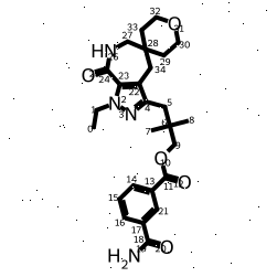 CCn1nc(CC(C)(C)COC(=O)c2cccc(C(N)=O)c2)c2c1C(=O)NCC1(CCOCC1)C2